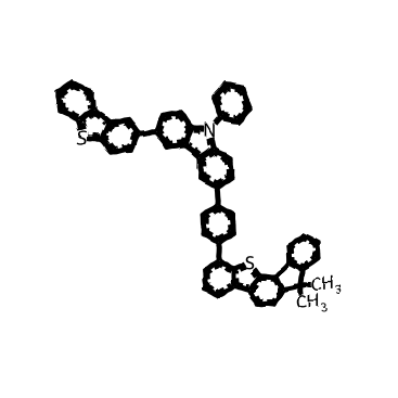 CC1(C)c2ccccc2-c2c1ccc1c2sc2c(-c3ccc(-c4ccc5c(c4)c4cc(-c6ccc7sc8ccccc8c7c6)ccc4n5-c4ccccc4)cc3)cccc21